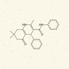 CC1=C(C(=O)Nc2ccccc2)C(c2ccccc2)C2=C(CC(C)(C)CC2=O)N1